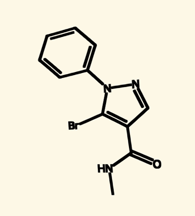 CNC(=O)c1cnn(-c2ccccc2)c1Br